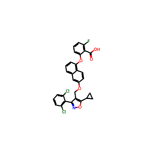 O=C(O)c1c(F)cccc1Oc1cccc2cc(OCc3c(-c4c(Cl)cccc4Cl)noc3C3CC3)ccc12